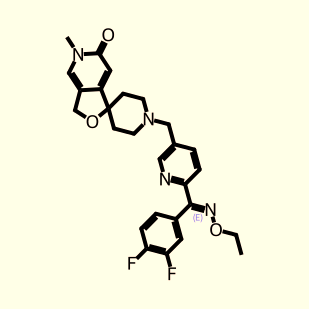 CCO/N=C(\c1ccc(F)c(F)c1)c1ccc(CN2CCC3(CC2)OCc2cn(C)c(=O)cc23)cn1